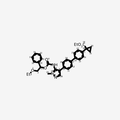 CCOCC(OC(=O)Nc1c(-c2ccc(-c3ccc(C4(C(=O)OCC)CC4)cc3)cc2)cnn1C)c1ccccc1